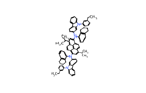 CCc1cccc(-n2c3ccccc3c3ccc(N(c4cccc5c4CCCC5)c4cc(C(C)C)c5ccc6c(N(c7ccc8c9ccccc9n(-c9cccc(CC)c9)c8c7)c7cccc8c7CCCC8)cc(C(C)C)c7ccc4c5c76)cc32)c1